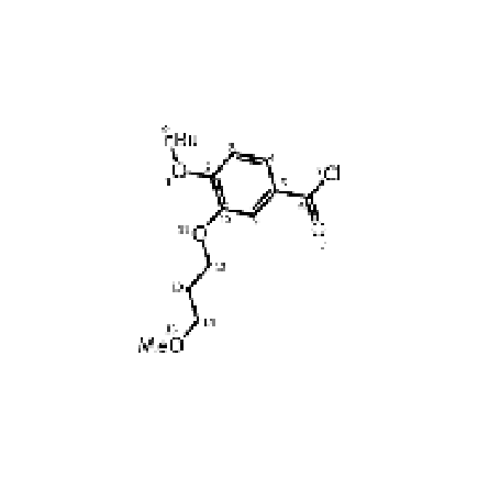 CCCCOc1ccc(C(=O)Cl)cc1OCCCOC